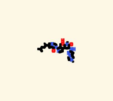 CC(C)CC[C@@H](C)c1cc2n(c1)CCN(c1nccc(-c3cc(Nc4cc5n(n4)CCN(C)C5)c(=O)n(C)c3)c1CO)C2=O